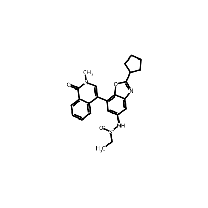 CC[S+]([O-])Nc1cc(-c2cn(C)c(=O)c3ccccc23)c2oc(C3CCCC3)nc2c1